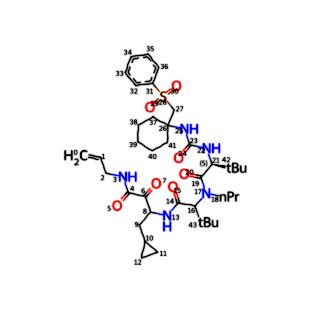 C=CCNC(=O)C(=O)C(CC1CC1)NC(=O)C(N(CCC)C(=O)[C@@H](NC(=O)NC1(CS(=O)(=O)c2ccccc2)CCCCC1)C(C)(C)C)C(C)(C)C